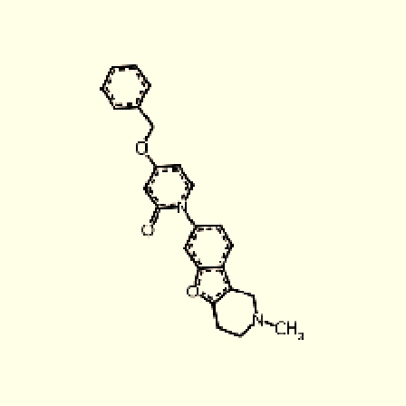 CN1CCc2oc3cc(-n4ccc(OCc5ccccc5)cc4=O)ccc3c2C1